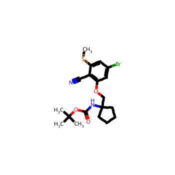 CSc1cc(Br)cc(OCC2(NC(=O)OC(C)(C)C)CCCC2)c1C#N